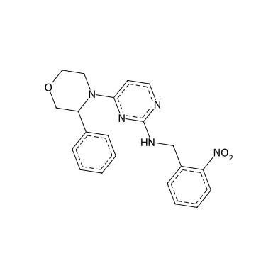 O=[N+]([O-])c1ccccc1CNc1nccc(N2CCOCC2c2ccccc2)n1